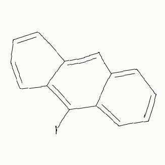 Ic1c2ccccc2cc2ccccc12